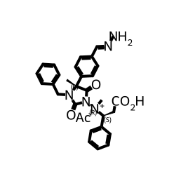 CC(=O)[N@@+](C)([C@@H](CC(=O)O)c1ccccc1)N1C(=O)N(Cc2ccccc2)[C@](C)(c2ccc(C=NN)cc2)C1=O